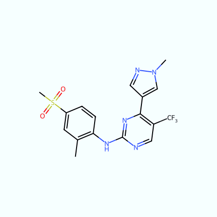 Cc1cc(S(C)(=O)=O)ccc1Nc1ncc(C(F)(F)F)c(-c2cnn(C)c2)n1